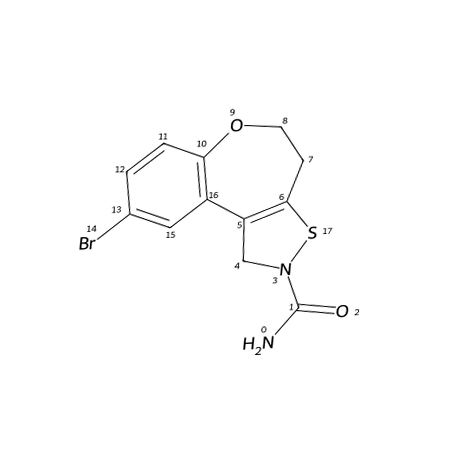 NC(=O)N1CC2=C(CCOc3ccc(Br)cc32)S1